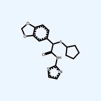 O=C(Nc1nccs1)C(SC1CCCC1)c1ccc2c(c1)OCO2